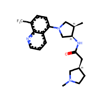 C[C@@H]1CN(c2ccc(C(F)(F)F)c3ncccc23)C[C@@H]1NC(=O)C[C@H]1CCN(C)C1